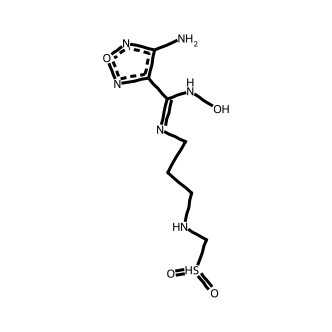 Nc1nonc1C(=NCCCNC[SH](=O)=O)NO